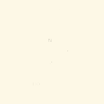 CC(O)COC(=O)N(C)C1CCCC1